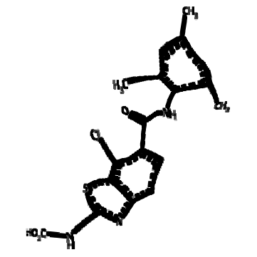 Cc1cc(C)c(NC(=O)c2ccc3nc(NC(=O)O)sc3c2Cl)c(C)c1